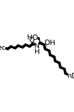 CCCCCCCCCCCCCCCCCCC[C@@H](O)[C@H](CO)NC(=O)CCCCCCCCCCCCCCCCC